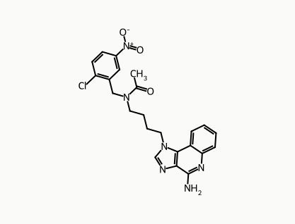 CC(=O)N(CCCCn1cnc2c(N)nc3ccccc3c21)Cc1cc([N+](=O)[O-])ccc1Cl